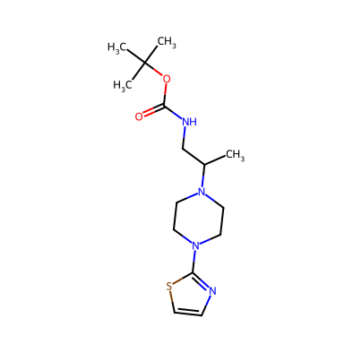 CC(CNC(=O)OC(C)(C)C)N1CCN(c2nccs2)CC1